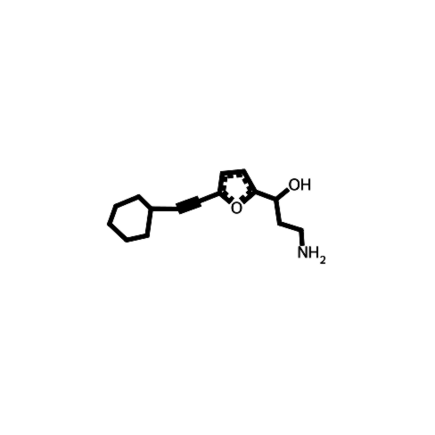 NCCC(O)c1ccc(C#CC2CCCCC2)o1